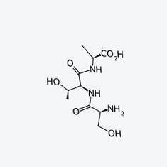 C[C@H](NC(=O)[C@@H](NC(=O)[C@@H](N)CO)[C@@H](C)O)C(=O)O